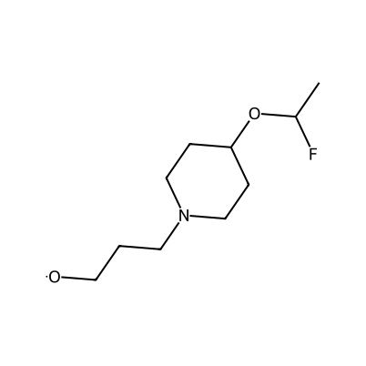 CC(F)OC1CCN(CCC[O])CC1